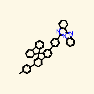 Cc1ccc(C2C=C3C(=CC2)c2ccc(-c4ccc(-c5nc6c(c7nc8ccccc8n57)CCC=C6)cc4)cc2C32c3ccccc3C3C=CC=CC32)cc1